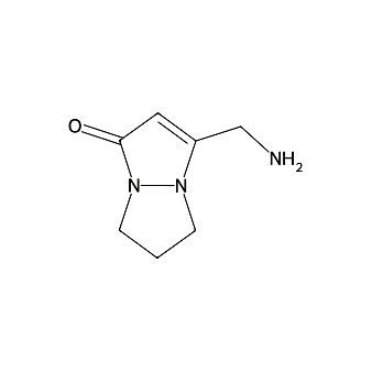 NCc1cc(=O)n2n1CCC2